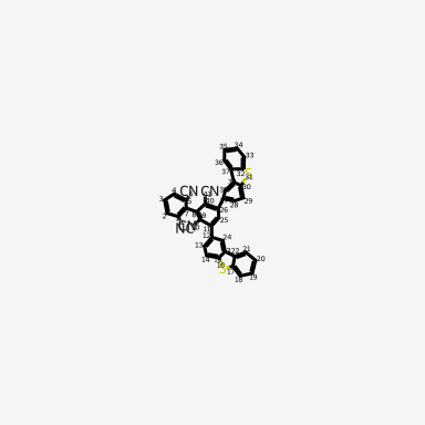 N#Cc1cccc(C#N)c1-c1c(C#N)c(-c2ccc3sc4ccccc4c3c2)cc(-c2ccc3sc4ccccc4c3c2)c1C#N